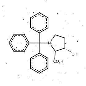 O=C(O)C1[C@@H](O)CCN1C(c1ccccc1)(c1ccccc1)c1ccccc1